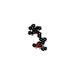 c1ccc2c(c1)ccc1nc(-c3ccc4c(c3)sc3ccccc34)c(-n3c4ccc5c6ccccc6c6cc(-c7ccc8c(ccc9nc(-n%10c%11ccc%12c%13ccccc%13c%13ccccc%13c%12c%11c%11ccc%12ccccc%12c%11%10)c(-c%10ccc%11c(c%10)sc%10ccccc%10%11)nc98)c7)ccc6c5c4c4ccc5ccccc5c43)nc12